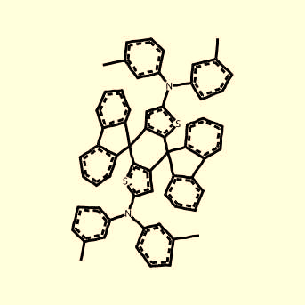 Cc1cccc(N(c2cccc(C)c2)c2cc3c(s2)C2(c4ccccc4-c4ccccc42)c2cc(N(c4cccc(C)c4)c4cccc(C)c4)sc2C32c3ccccc3-c3ccccc32)c1